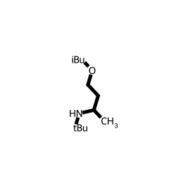 CCC(C)OCCC(C)NC(C)(C)C